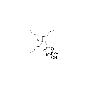 CCCCC(CCCC)(CCCC)OC(=O)OP(=O)(O)O